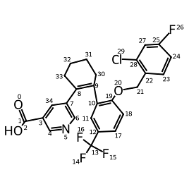 O=C(O)c1cncc(C2=C(c3cc(C(F)(F)F)ccc3OCc3ccc(F)cc3Cl)CCCC2)c1